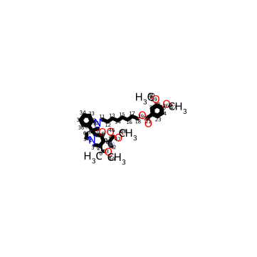 CC[C@H]1CN2CC[C@]3(C(=O)N(CCCCCCCCOC(=O)c4ccc(OC)c(OC)c4)c4ccccc43)C2C[C@@H]1/C(=C\OC)C(=O)OC